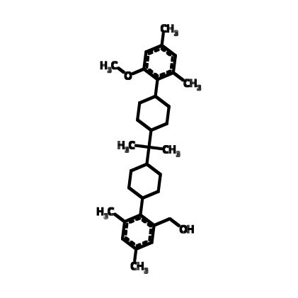 COc1cc(C)cc(C)c1C1CCC(C(C)(C)C2CCC(c3c(C)cc(C)cc3CO)CC2)CC1